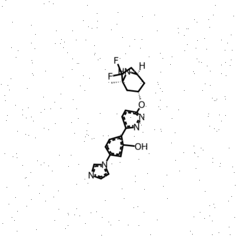 C[C@]12C[C@@H](Oc3ccc(-c4ccc(-n5ccnc5)cc4O)nn3)C[C@H](CC1(F)F)N2